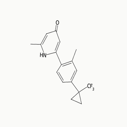 Cc1cc(=O)cc(-c2ccc(C3(C(F)(F)F)CC3)cc2C)[nH]1